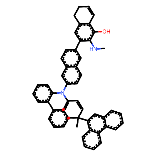 CNc1c(-c2ccc3cc(N(C4=CCC(C)(c5cc6ccccc6c6ccccc56)C=C4)c4ccccc4-c4ccccc4)ccc3c2)cc2c(c1O)C=CCC2